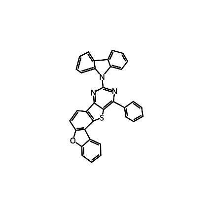 c1ccc(-c2nc(-n3c4ccccc4c4ccccc43)nc3c2sc2c3ccc3oc4ccccc4c32)cc1